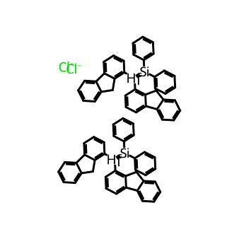 [Cl-].[Cl-].c1ccc([Si](c2ccccc2)=[Hf]([c]2cccc3c2Cc2ccccc2-3)[c]2cccc3c2Cc2ccccc2-3)cc1.c1ccc([Si](c2ccccc2)=[Hf]([c]2cccc3c2Cc2ccccc2-3)[c]2cccc3c2Cc2ccccc2-3)cc1